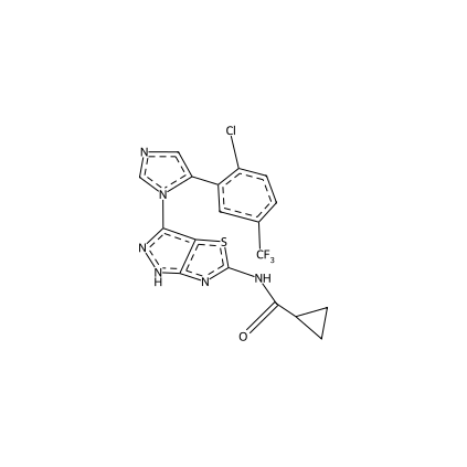 O=C(Nc1nc2[nH]nc(-n3cncc3-c3cc(C(F)(F)F)ccc3Cl)c2s1)C1CC1